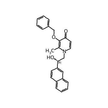 Cc1c(OCc2ccccc2)c(=O)ccn1C[C@H](O)c1ccc2ccccc2c1